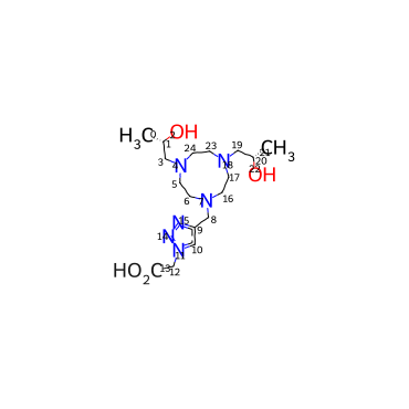 C[C@H](O)CN1CCN(Cc2cn(CC(=O)O)nn2)CCN(C[C@H](C)O)CC1